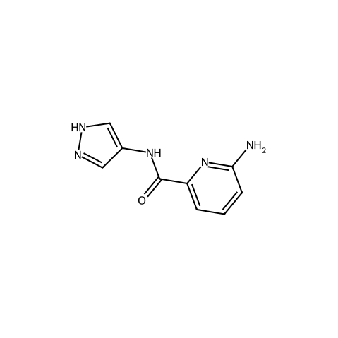 Nc1cccc(C(=O)Nc2cn[nH]c2)n1